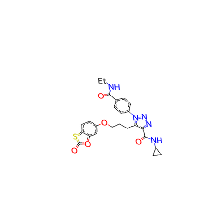 CCNC(=O)c1ccc(-n2nnc(C(=O)NC3CC3)c2CCCOc2ccc3sc(=O)oc3c2)cc1